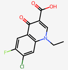 CCn1cc(C(=O)O)c(=O)c2cc(F)c(Cl)cc21